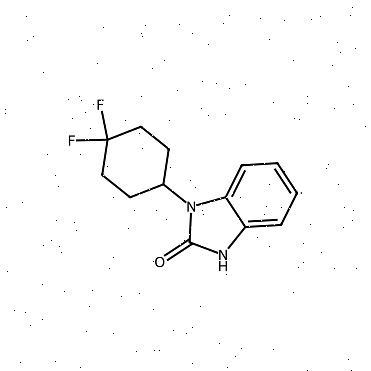 O=c1[nH]c2c[c]ccc2n1C1CCC(F)(F)CC1